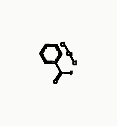 O=C(F)c1ccccc1.[Cl][Ca][Cl]